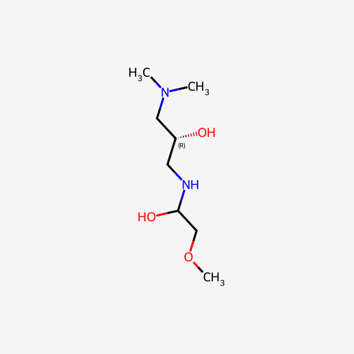 COCC(O)NC[C@@H](O)CN(C)C